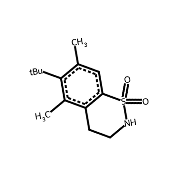 Cc1cc2c(c(C)c1C(C)(C)C)CCNS2(=O)=O